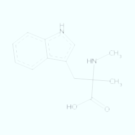 CNC(C)(Cc1c[nH]c2ccccc12)C(=O)O